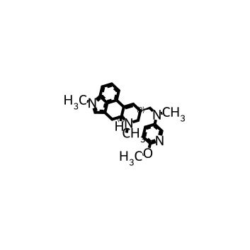 COc1ccc(N(C)C[C@@H]2C=C3c4cccc5c4c(cn5C)C[C@H]3N(C)C2)cn1